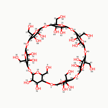 OCC1OC2OC3C(CO)OC(OC4C(CO)OC(OC5C(CO)OC(OC6C(CO)OC(OC7C(CO)OC(OC8C(CO)OC(OC1C(O)C2O)C(O)C8O)C(O)C7O)C(O)C6O)C(O)C5O)C(O)C4O)C(O)C3O